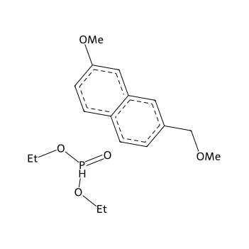 CCO[PH](=O)OCC.COCc1ccc2ccc(OC)cc2c1